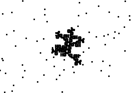 C=C(C)C(=O)OCC(O)COC[C@H]1O[C@@H](O[C@H]2[C@H](OCC(O)COC(=O)C(=C)C)[C@@H](OCC(O)COC(=O)C(=C)C)[C@@H](OCC(O)COC(=O)C(=C)C)O[C@@H]2COCC(O)COC(=O)C(=C)C)[C@H](O)[C@@H](O)[C@H]1O